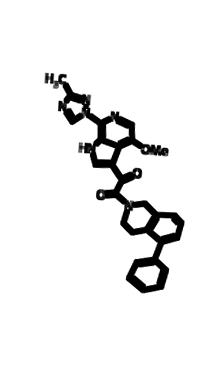 COc1cnc(-n2cnc(C)n2)c2[nH]cc(C(=O)C(=O)N3CCc4c(cccc4-c4ccccc4)C3)c12